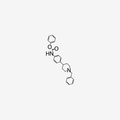 O=C(Nc1ccc(C2CCN(Cc3ccccc3)CC2)cc1)Oc1ccccc1